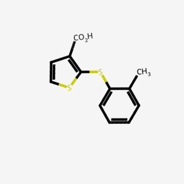 Cc1ccccc1Sc1sccc1C(=O)O